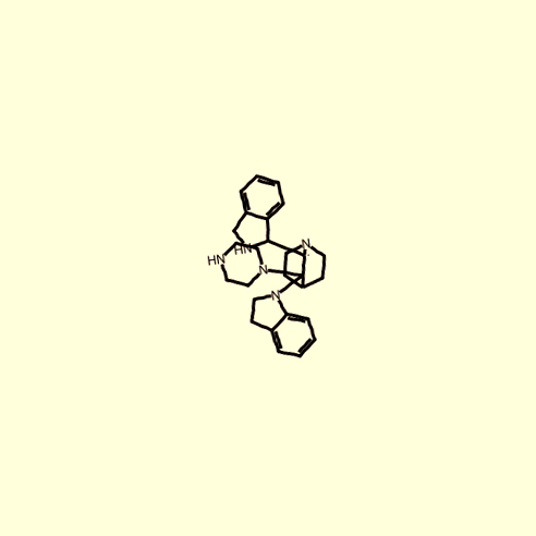 c1ccc2c(c1)CNC2[C]1N2CCC(CC2)C1(N1CCNCC1)N1CCc2ccccc21